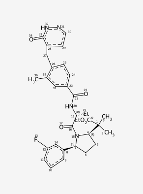 CCOC(=O)C(C)(C)[C@H]1CC[C@@H](c2cccc(F)c2)N1C(=O)[C@@H](CC)NC(=O)c1ccc(Cc2ccn[nH]c2=O)c(C)c1